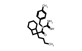 CCCCC1(C(=O)N(Cc2ccc(C)cc2)C(=N)N)CC2CCCCC21